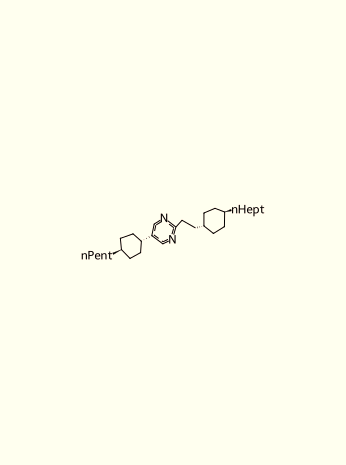 CCCCCCC[C@H]1CC[C@H](CCc2ncc([C@H]3CC[C@H](CCCCC)CC3)cn2)CC1